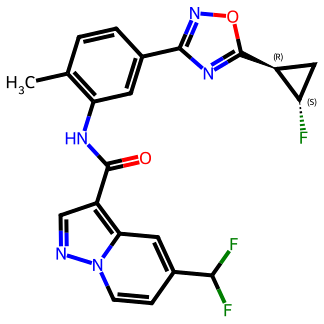 Cc1ccc(-c2noc([C@H]3C[C@@H]3F)n2)cc1NC(=O)c1cnn2ccc(C(F)F)cc12